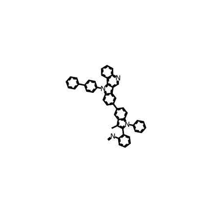 C=Nc1ccccc1-c1c(C)c2cc(-c3ccc4c(c3)c3cnc5ccccc5c3n4-c3ccc(-c4ccccc4)cc3)ccc2n1-c1ccccc1